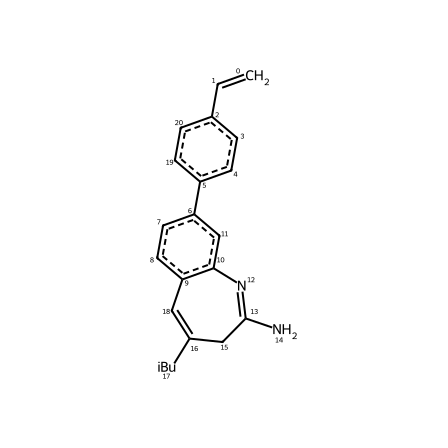 C=Cc1ccc(-c2ccc3c(c2)N=C(N)CC(C(C)CC)=C3)cc1